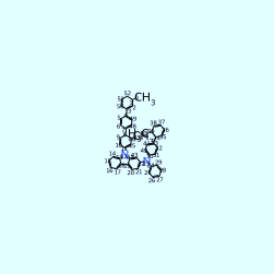 CC1C=C(c2ccc(C3C=CC(n4c5ccccc5c5ccc(N(c6ccccc6)c6ccc(C7C=CC=CC7C)cc6)cc54)=CC3C)cc2)C=CC1